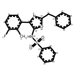 Cc1c(F)cccc1-c1nc(Cc2ccccc2)oc1NS(=O)(=O)c1ccccc1